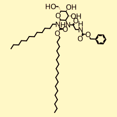 CCCCCCCCCCCCCCCCCCOC(=O)N(CCCCCCCCCCCC)[C@@H]1O[C@H](CO)[C@H](O)[C@H](O)[C@H]1NC(=O)CNC(=O)OCc1ccccc1